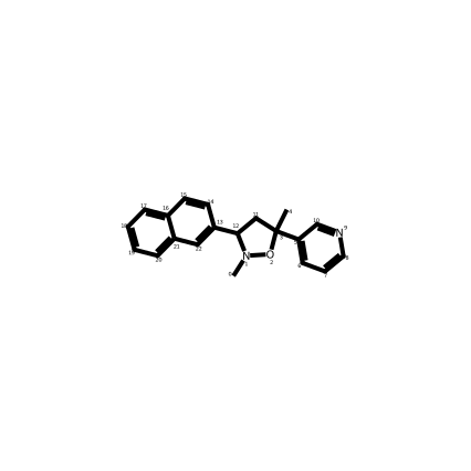 CN1OC(C)(c2cccnc2)CC1c1ccc2ccccc2c1